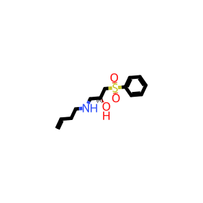 C=CCCNC[C@@H](O)CS(=O)(=O)c1ccccc1